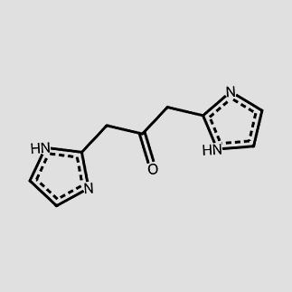 O=C(Cc1ncc[nH]1)Cc1ncc[nH]1